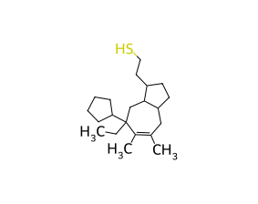 CCC1(C2CCCC2)CC2C(CCS)CCC2CC(C)=C1C